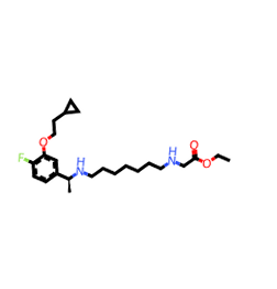 CCOC(=O)CNCCCCCCCN[C@@H](C)c1ccc(F)c(OCCC2CC2)c1